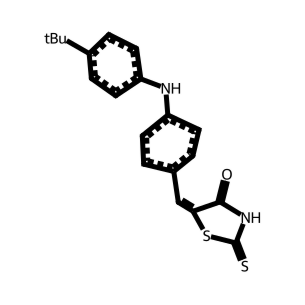 CC(C)(C)c1ccc(Nc2ccc(/C=C3/SC(=S)NC3=O)cc2)cc1